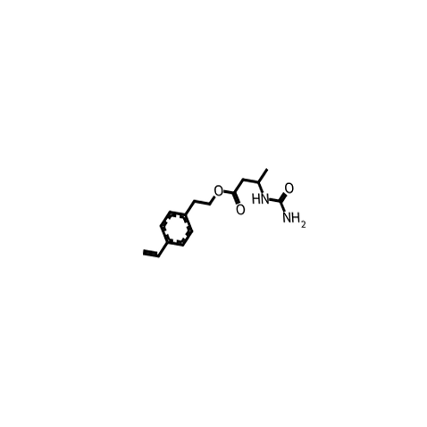 C=Cc1ccc(CCOC(=O)CC(C)NC(N)=O)cc1